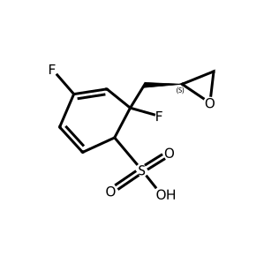 O=S(=O)(O)C1C=CC(F)=CC1(F)C[C@H]1CO1